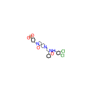 CS(=O)(=O)c1ccc(CN2CCC3(CCN(CCC(NC(=O)Cc4ccc(Cl)c(Cl)c4)c4ccccc4)CC3)C2=O)cc1